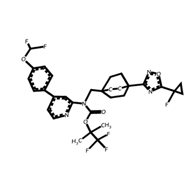 CC(C)(OC(=O)N(CC12CCC(c3noc(C4(F)CC4)n3)(CC1)CC2)c1cc(-c2ccc(OC(F)F)cc2)ccn1)C(F)(F)F